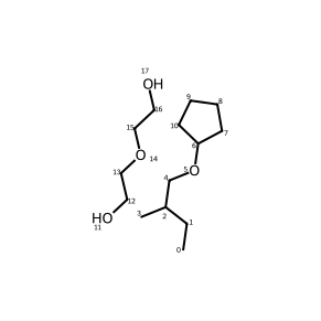 CCC(C)COC1CCCC1.OCCOCCO